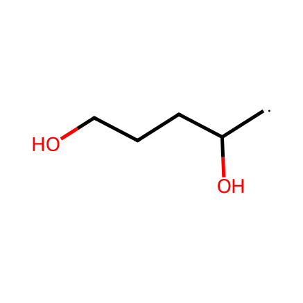 [CH2]C(O)CCCO